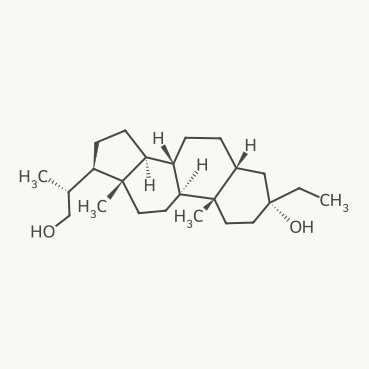 CC[C@@]1(O)CC[C@@]2(C)[C@H](CC[C@@H]3[C@@H]2CC[C@]2(C)[C@@H]([C@@H](C)CO)CC[C@@H]32)C1